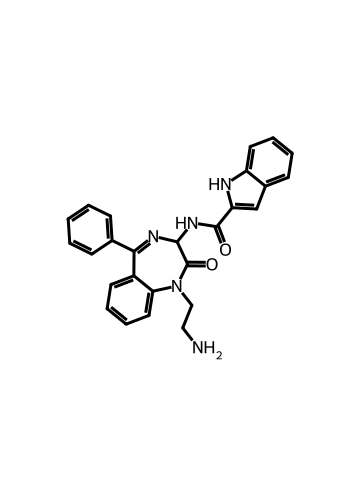 NCCN1C(=O)C(NC(=O)c2cc3ccccc3[nH]2)N=C(c2ccccc2)c2ccccc21